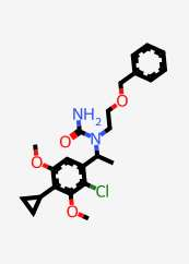 COc1cc(C(C)N(CCOCc2ccccc2)C(N)=O)c(Cl)c(OC)c1C1CC1